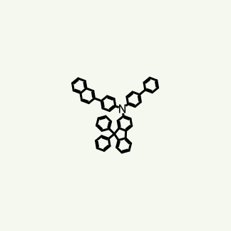 c1ccc(-c2ccc(N(c3ccc(-c4ccc5ccccc5c4)cc3)c3ccc4c(c3)C(c3ccccc3)(c3ccccc3)c3ccccc3-4)cc2)cc1